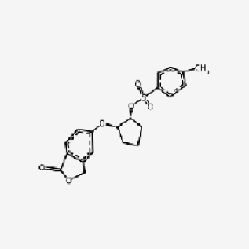 Cc1ccc(S(=O)(=O)O[C@H]2CCC[C@H]2Oc2ccc3c(c2)COC3=O)cc1